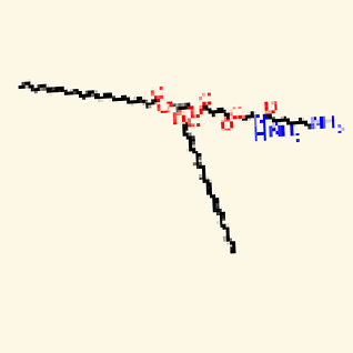 CCCCCCCCCCCCCCCCCC(=O)OC[C@H](COC(=O)CCC(=O)OCCNC(=O)C(N)CCCCN)OC(=O)CCCCCCCCCCCCCCCCC